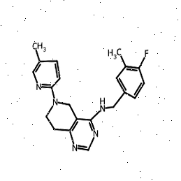 Cc1ccc(N2CCc3ncnc(NCc4ccc(F)c(C)c4)c3C2)nc1